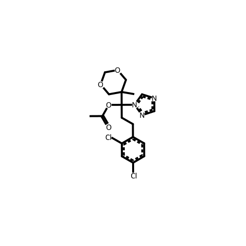 CC(=O)OC(CCc1ccc(Cl)cc1Cl)(n1cncn1)C1(C)COCOC1